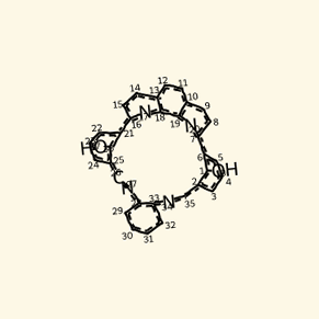 Oc1c2cccc1c1ccc3ccc4ccc(nc4c3n1)c1cccc(cnc3ccccc3nc2)c1O